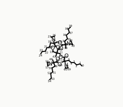 CCCCCCC(C)(C(=O)OCC(COC(=O)C(C)(CCCCCC)N1CC1)(COC(=O)C(C)(CCCCCC)N1CC1)COC(=O)C(C)(CCCCCC)N1CC1)N1CC1